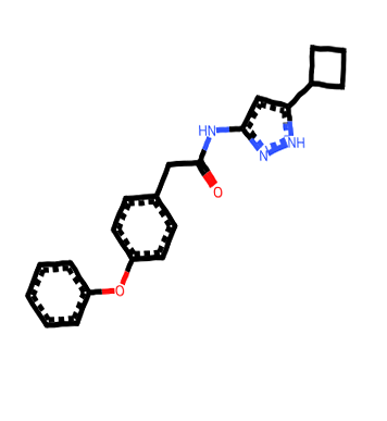 O=C(Cc1ccc(Oc2ccccc2)cc1)Nc1cc(C2CCC2)[nH]n1